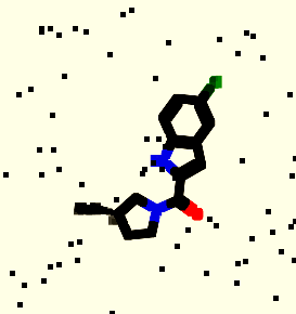 CN[C@H]1CCN(C(=O)c2cc3cc(Cl)ccc3[nH]2)C1